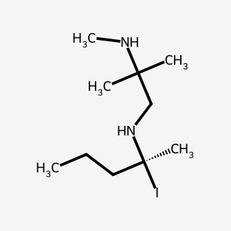 CCC[C@](C)(I)NCC(C)(C)NC